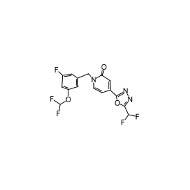 O=c1cc(-c2nnc(C(F)F)o2)ccn1Cc1cc(F)cc(OC(F)F)c1